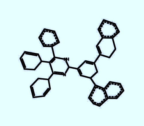 C1=CCC(C2=NC(C3=CC(c4cccc5ccccc45)CC(C4=Cc5ccccc5CC4)=C3)NC(c3ccccc3)=C2C2C=CC=CC2)C=C1